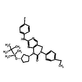 CCc1ccc(N2Cc3cnc(Nc4ccc(F)cc4)nc3N([C@H]3CC[C@H](O[Si](C)(C)C(C)(C)C)C3)C2=O)cc1